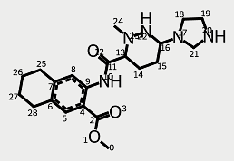 COC(=O)c1cc2c(cc1NC(=O)C1CCC(N3CCNC3)NN1C)CCCC2